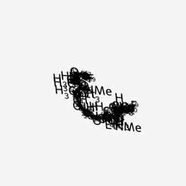 CC[C@H](NC)C(=O)N[C@@H](Cc1c(C)cc(OCC(=O)NCc2ccc(CNC(=O)COc3cc(C)c(C[C@H](NC(=O)[C@H](CC)NC)C(=O)N4CC(C)(C)c5[nH]c(=O)c(Cc6ccc(F)cc6)cc54)c(C)c3)cc2)cc1C)C(=O)N1CC(C)(C)c2[nH]c(=O)c(Cc3ccc(F)cc3)cc21